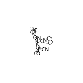 C=CC(=O)N1CCN(c2nc(OC[C@@H]3CCCN3[13CH3])nc3c2CCN(c2cccc4cccc(C)c24)C3)C[C@@H]1CC#N